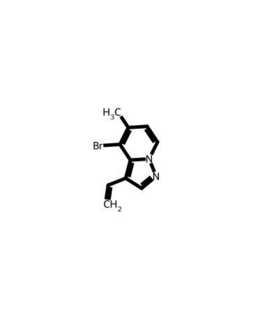 C=Cc1cnn2ccc(C)c(Br)c12